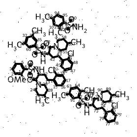 COc1ccccc1S(=O)(=O)NC(CCc1ccccc1Cl)C(=O)N1CCC(C)CC1.Cc1cc(C)cc(S(=O)(=O)NC(CCc2ccccc2Cl)C(=O)N2CCC(C)CC2)c1.Cc1ccc(C)c(S(=O)(=O)NC(CCc2ccccc2Cl)C(=O)N2CCC(C)CC2)c1.Cc1ccc(S(N)(=O)=O)c(C)c1